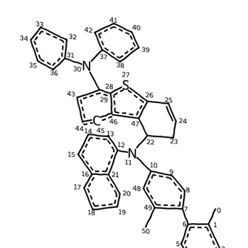 Cc1ccccc1-c1ccc(N(c2cccc3ccccc23)C2CC=Cc3sc4c(N(c5ccccc5)c5ccccc5)cccc4c32)cc1C